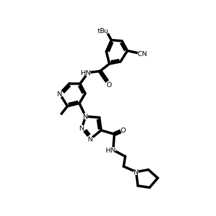 Cc1ncc(NC(=O)c2cc(C#N)cc(C(C)(C)C)c2)cc1-n1cc(C(=O)NCCN2CCCC2)nn1